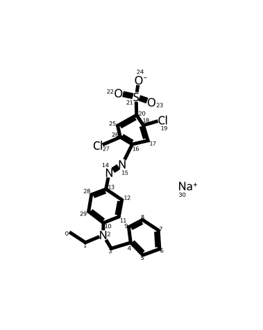 CCN(Cc1ccccc1)c1ccc(N=Nc2cc(Cl)c(S(=O)(=O)[O-])cc2Cl)cc1.[Na+]